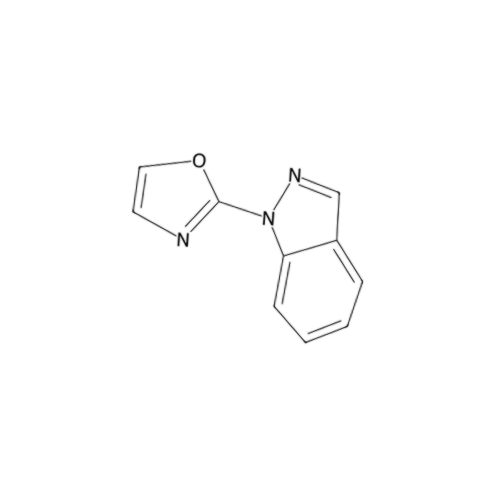 c1ccc2c(c1)cnn2-c1ncco1